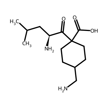 CC(C)C[C@H](N)C(=O)C1(C(=O)O)CCC(CN)CC1